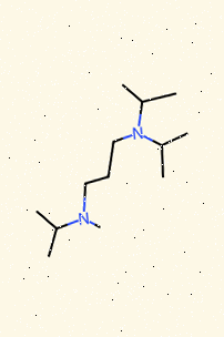 CC(C)N(C)CCCN(C(C)C)C(C)C